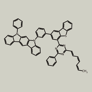 C\C=C/C=C\C=C\c1nc(-c2ccccc2)nc(-c2cc(-c3cccc(-n4c5ccccc5c5cc6c7ccccc7n(-c7ccccc7)c6cc54)c3)cc3c2sc2ccccc23)n1